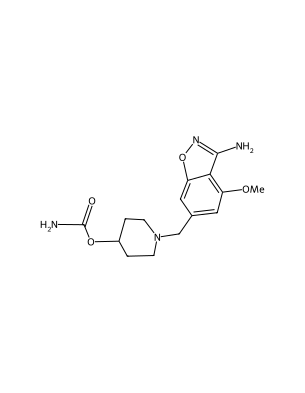 COc1cc(CN2CCC(OC(N)=O)CC2)cc2onc(N)c12